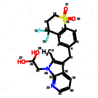 Cc1c(Cc2ccc3c(c2)C(F)(F)CCS3(=O)=O)c2cccnc2n1CC(O)O